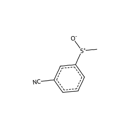 C[S+]([O-])c1cccc(C#N)c1